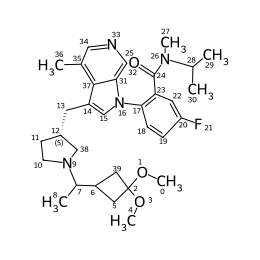 COC1(OC)CC(C(C)N2CC[C@H](Cc3cn(-c4ccc(F)cc4C(=O)N(C)C(C)C)c4cncc(C)c34)C2)C1